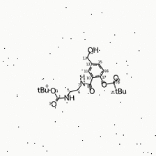 CC(C)(C)OC(=O)NCCNC(=O)c1cc(CO)ccc1OC(=O)C(C)(C)C